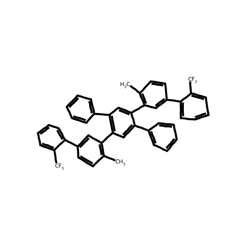 Cc1ccc(-c2ccccc2C(F)(F)F)cc1-c1cc(-c2ccccc2)c(-c2cc(-c3ccccc3C(F)(F)F)ccc2C)cc1-c1ccccc1